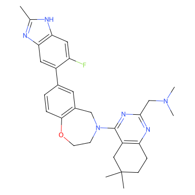 Cc1nc2cc(-c3ccc4c(c3)CN(c3nc(CN(C)C)nc5c3CC(C)(C)CC5)CCO4)c(F)cc2[nH]1